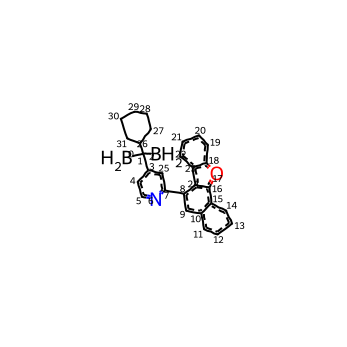 BC(B)(c1ccnc(-c2cc3ccccc3c3oc4ccccc4c23)c1)C1CCCCC1